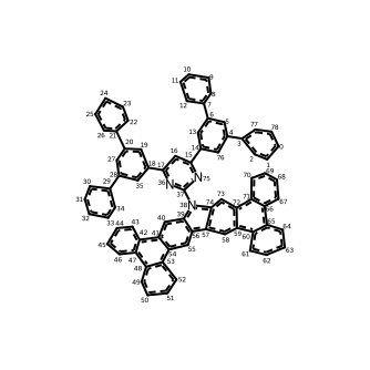 c1ccc(-c2cc(-c3ccccc3)cc(-c3cc(-c4cc(-c5ccccc5)cc(-c5ccccc5)c4)nc(-n4c5cc6c7ccccc7c7ccccc7c6cc5c5cc6c7ccccc7c7ccccc7c6cc54)n3)c2)cc1